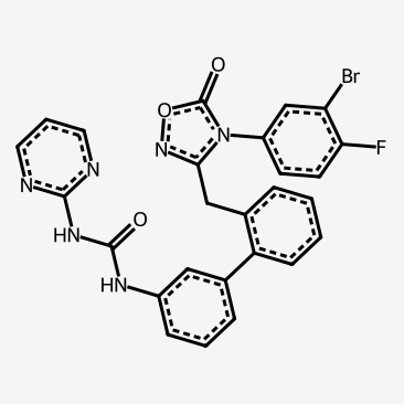 O=C(Nc1cccc(-c2ccccc2Cc2noc(=O)n2-c2ccc(F)c(Br)c2)c1)Nc1ncccn1